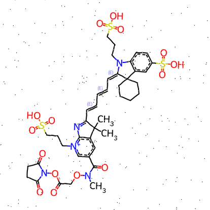 CN(OCC(=O)ON1C(=O)CCC1=O)C(=O)c1cc2c([n+](CCCS(=O)(=O)O)c1)N=C(/C=C/C=C/C=C1/N(CCCS(=O)(=O)O)c3ccc(S(=O)(=O)O)cc3C13CCCCC3)C2(C)C